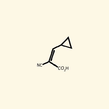 N#C/C(=C/C1CC1)C(=O)O